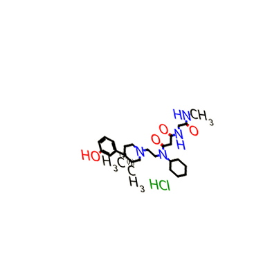 CNC(=O)CNC(=O)CC(=O)N(CCN1CC[C@](C)(c2cccc(O)c2)[C@@H](C)C1)C1CCCCC1.Cl